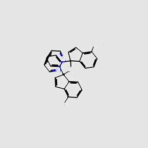 CC(C)(C)c1cccc2c1C=C[C]2([Zr][C]1(c2ccccn2)C=Cc2c(C(C)(C)C)cccc21)c1ccccn1